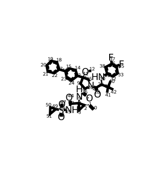 C=C[C@@H]1C[C@]1(NC(=O)[C@@H]1C[C@@](OC)(c2ccc(-c3ccccc3)cc2)CN1C(=O)[C@@H](Nc1ccc(F)c(F)c1)C(C)(C)C)C(=O)NS(=O)(=O)C1CC1